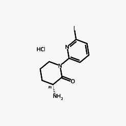 Cl.N[C@@H]1CCCN(c2cccc(I)n2)C1=O